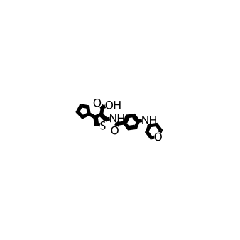 O=C(Nc1scc(C2CCCC2)c1C(=O)O)c1ccc(NC2CCOCC2)cc1